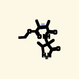 CCOC(=O)/C(C)=C(/C)C(=O)NC(C)(C(N)=O)C(C)C